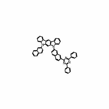 c1ccc(-c2nc(-c3ccccc3)nc(-c3ccc4ccc(-n5c6ccccc6c6cc7c8ccccc8n(-c8ccc9ccccc9c8)c7cc65)cc4c3)n2)cc1